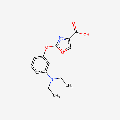 CCN(CC)c1cccc(Oc2nc(C(=O)O)co2)c1